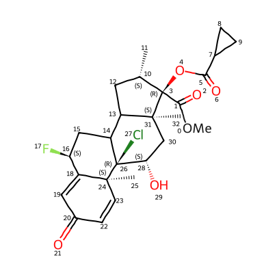 COC(=O)[C@@]1(OC(=O)C2CC2)[C@@H](C)CC2C3C[C@H](F)C4=CC(=O)C=C[C@]4(C)[C@@]3(Cl)[C@@H](O)C[C@@]21C